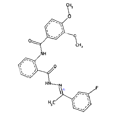 COc1ccc(C(=O)Nc2ccccc2C(=O)N/N=C(\C)c2cccc(F)c2)cc1OC